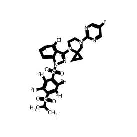 [2H]c1c([2H])c(S(=O)(=O)n2nc(N3CCN(c4ncc(F)cn4)CC34CC4)c3c(Cl)cccc32)c([2H])c([2H])c1S(=O)(=O)C(C)C